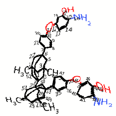 CC12CC3(C)CC(c4ccc(Oc5ccc(N)c(O)c5)cc4)(C1)CC(C14CC5(C)CC(C)(CC(c6ccc(Oc7ccc(N)c(O)c7)cc6)(C5)C1)C4)(C2)C3